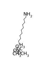 CO[Si](C)(OC)OCCCCCCCCCCCN